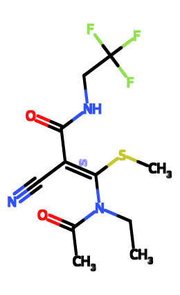 CCN(C(C)=O)/C(SC)=C(\C#N)C(=O)NCC(F)(F)F